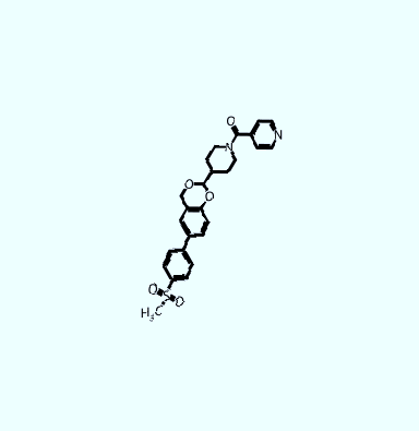 CS(=O)(=O)c1ccc(-c2ccc3c(c2)COC(C2CCN(C(=O)c4ccncc4)CC2)O3)cc1